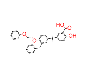 CC(C)(c1ccc(OCCOc2ccccc2)c(Cc2ccccc2)c1)c1ccc(O)c(C(=O)O)c1